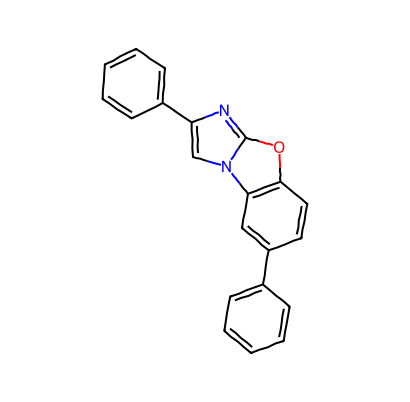 c1ccc(-c2ccc3oc4nc(-c5ccccc5)cn4c3c2)cc1